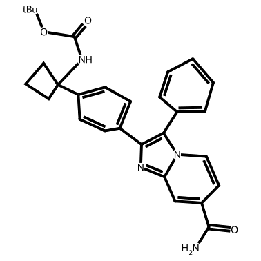 CC(C)(C)OC(=O)NC1(c2ccc(-c3nc4cc(C(N)=O)ccn4c3-c3ccccc3)cc2)CCC1